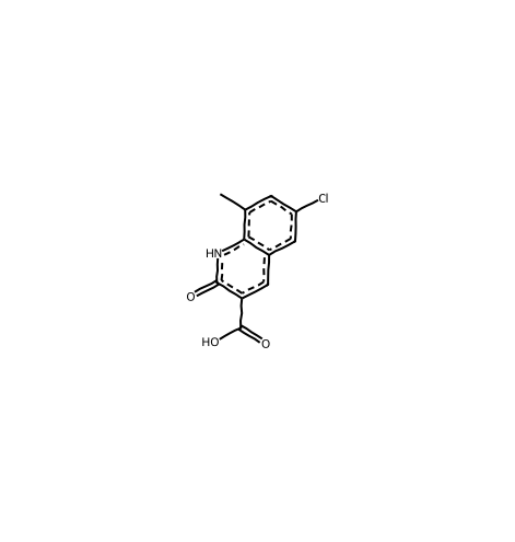 Cc1cc(Cl)cc2cc(C(=O)O)c(=O)[nH]c12